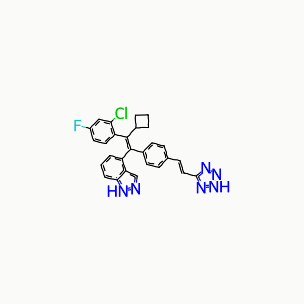 Fc1ccc(C(=C(c2ccc(C=Cc3nn[nH]n3)cc2)c2cccc3[nH]ncc23)C2CCC2)c(Cl)c1